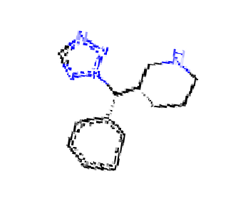 c1ccc([C@@H]([C@H]2CCCNC2)n2ncnn2)cc1